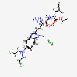 CCOC(=O)[C@@H](CC(C)C)NC(=O)[C@H](N)CCc1nc2cc(N(CCCl)CCCl)ccc2n1C.Cl.Cl